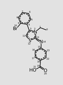 CCn1c(-c2ccccc2Br)csc1=Nc1ccc(C(=O)O)cc1